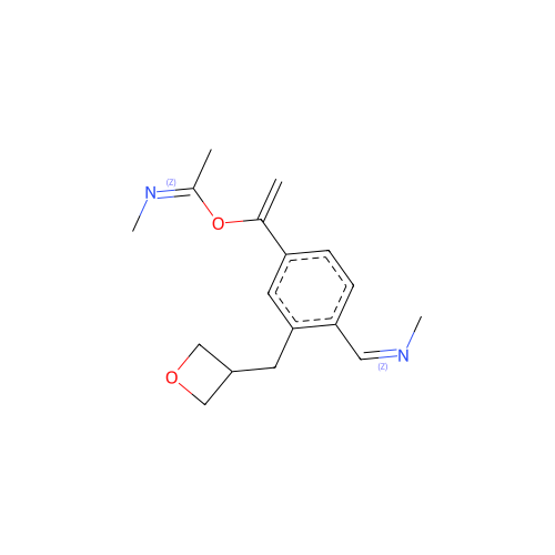 C=C(O/C(C)=N\C)c1ccc(/C=N\C)c(CC2COC2)c1